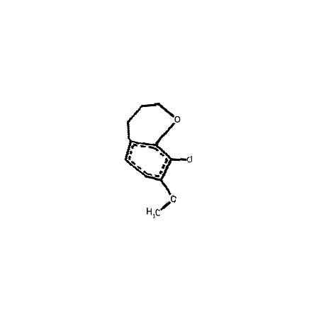 COc1ccc2c(c1Cl)OCCC2